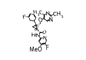 COc1cc(NC(=O)[C@@H]2C[C@@]2(COc2cnc(C)nc2C)C2C=CC=C(F)C2)ncc1F